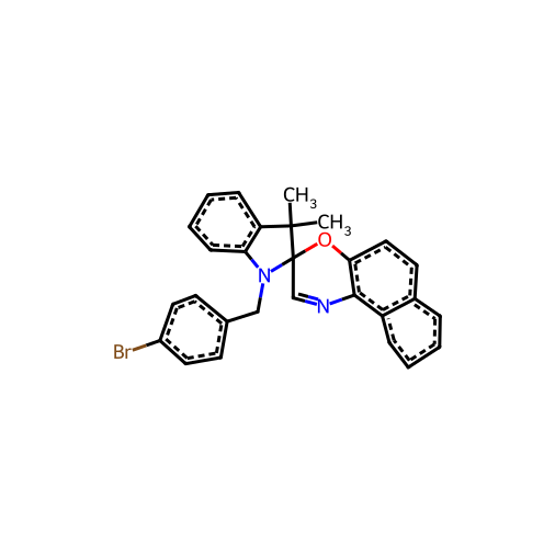 CC1(C)c2ccccc2N(Cc2ccc(Br)cc2)C12C=Nc1c(ccc3ccccc13)O2